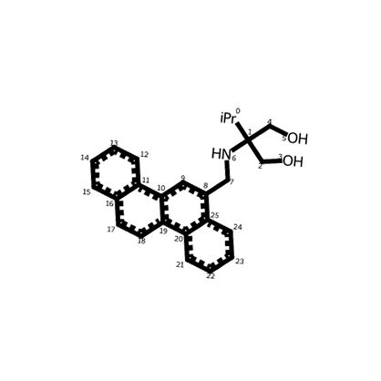 CC(C)C(CO)(CO)NCc1cc2c3ccccc3ccc2c2ccccc12